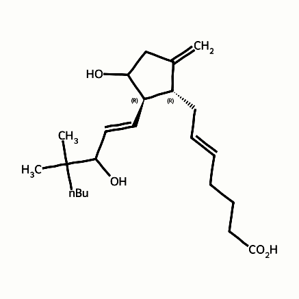 C=C1CC(O)[C@H](C=CC(O)C(C)(C)CCCC)[C@H]1CC=CCCCC(=O)O